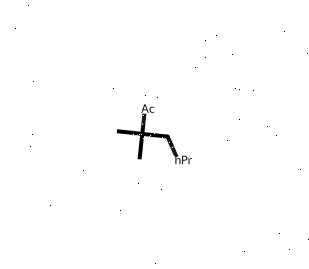 [CH2]C(=O)C(C)(C)CCCC